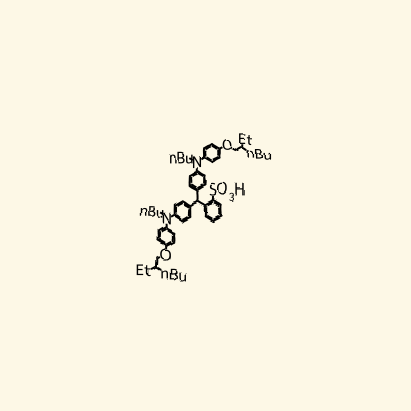 CCCCC(CC)COc1ccc(N(CCCC)c2ccc(C(c3ccc(N(CCCC)c4ccc(OCC(CC)CCCC)cc4)cc3)c3ccccc3S(=O)(=O)O)cc2)cc1